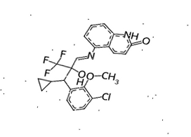 COc1c(Cl)cccc1C(C1CC1)C(O)(C=Nc1cccc2[nH]c(=O)ccc12)C(F)(F)F